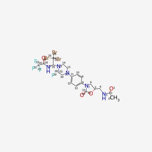 CC(=O)NCC1CN(c2ccc(N3CCN(C(NC(=O)C(F)(F)F)C(Br)(Br)Br)[C@@H](F)C3)cc2)C(=O)O1